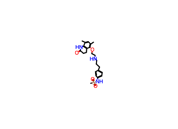 Cc1cc(C)c(OCCNCCCc2ccc(NS(C)(=O)=O)cc2)c2c1NC(=O)CC2